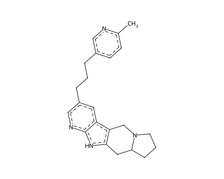 Cc1ccc(CCCc2cnc3[nH]c4c(c3c2)CN2CCCC2C4)cn1